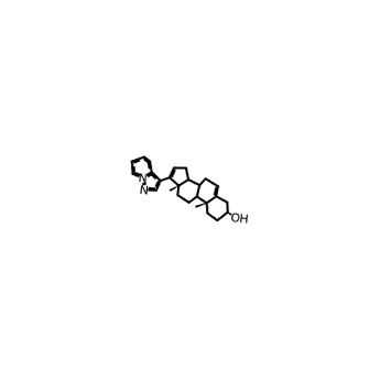 C[C@]12CC[C@H](O)CC1=CCC1C2CC[C@]2(C)C(c3cnn4ccccc34)=CCC12